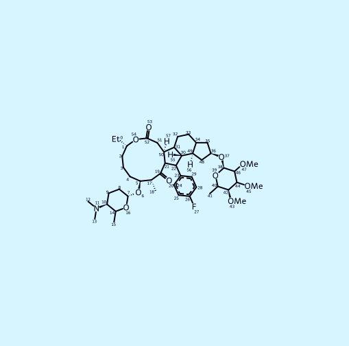 CC[C@H]1CCC[C@H](O[C@H]2CC[C@H](N(C)C)C(C)O2)[C@@H](C)C(=O)C2C(c3ccc(F)cc3)[C@@H]3C(CCC4C[C@@H](O[C@@H]5OC(C)[C@H](OC)C(OC)C5OC)C[C@H]43)[C@@H]2CC(=O)O1